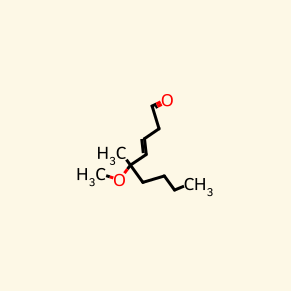 CCCCC(C)(C=CCC=O)OC